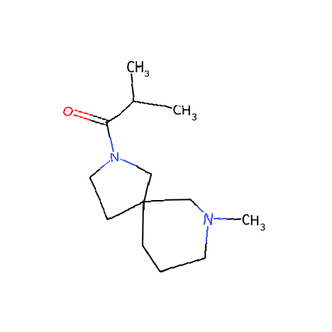 CC(C)C(=O)N1CCC2(CCCN(C)C2)C1